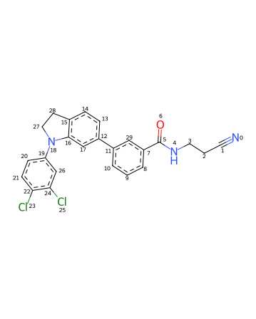 N#CCCNC(=O)c1cccc(-c2ccc3c(c2)N(c2ccc(Cl)c(Cl)c2)CC3)c1